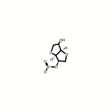 O=[N+]([O-])O[C@@H]1CO[C@@H]2C(O)CO[C@@H]21